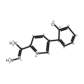 NN=C(N)c1ccc(-c2ccccc2Cl)cn1